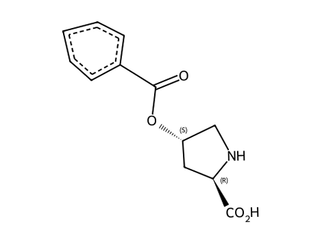 O=C(O[C@@H]1CN[C@@H](C(=O)O)C1)c1ccccc1